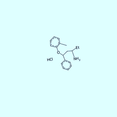 CCC(N)CC(Oc1ccccc1C)c1ccccc1.Cl